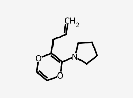 C=CCC1=C(N2CCCC2)OC=CO1